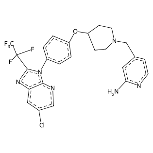 Nc1cc(CN2CCC(Oc3ccc(-n4c(C(F)(F)C(F)(F)F)nc5cc(Cl)cnc54)cc3)CC2)ccn1